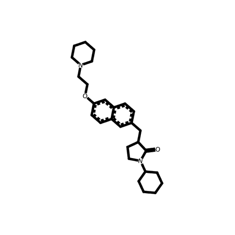 O=C1C(Cc2ccc3cc(OCCN4CCCCC4)ccc3c2)CCN1C1CCCCC1